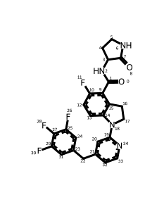 O=C(NC1CCNC1=O)c1c(F)ccc2c1CCN2c1cc(Cc2cc(F)c(F)c(F)c2)ccn1